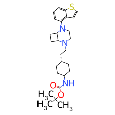 CC(C)(C)OC(=O)N[C@H]1CC[C@H](CCN2CCN(c3cccc4sccc34)C3CCC32)CC1